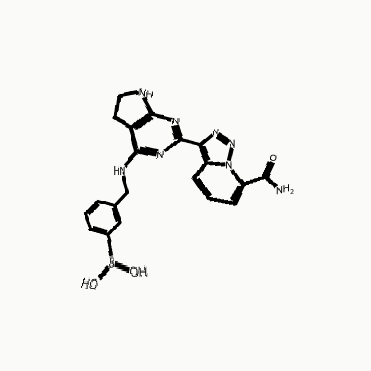 NC(=O)c1cccc2c(-c3nc4c(c(NCc5cccc(B(O)O)c5)n3)CCN4)nnn12